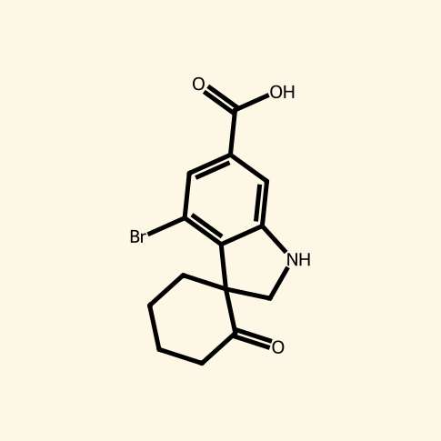 O=C(O)c1cc(Br)c2c(c1)NCC21CCCCC1=O